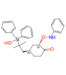 CC(C)(C[C@@H]1CCC(=O)[C@H](ONc2ccccc2)C1)[Si](O)(c1ccccc1)c1ccccc1